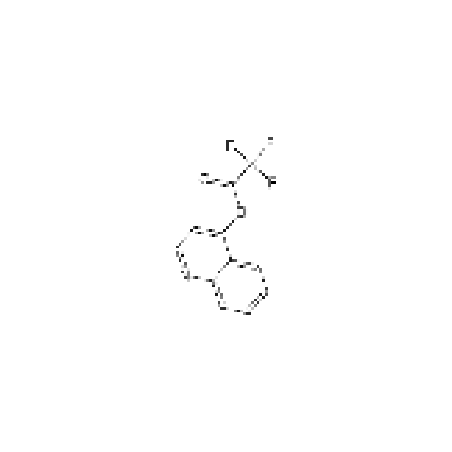 O=C(Oc1ccnc2ccccc12)C(F)(F)F